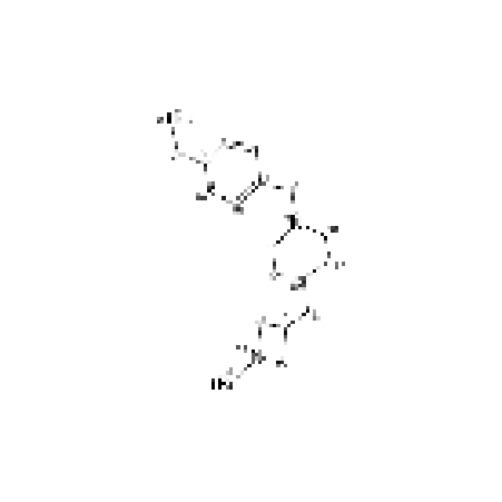 CC(C)(C)Cc1ccc(CN2CCC(CC3CN(C(C)(C)C)C3)CC2)cc1